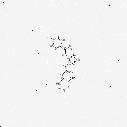 O=C(C[C@H]1NCCC[C@@H]1O)Cn1cnc2ccc(-c3ccc(Cl)cc3)cc21